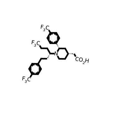 O=C(O)C[C@@H]1CCN([C@H](CCc2ccc(C(F)(F)F)cc2)CCC(F)(F)F)[C@H](c2ccc(C(F)(F)F)cc2)C1